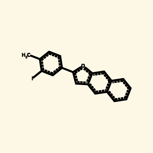 Cc1ccc(-c2cc3cc4ccccc4cc3o2)cc1I